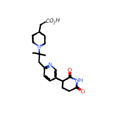 CC(C)(Cc1ccc(C2CCC(=O)NC2=O)cn1)N1CCC(CC(=O)O)CC1